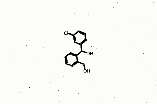 OCc1ccccc1C(O)c1cccc(Cl)c1